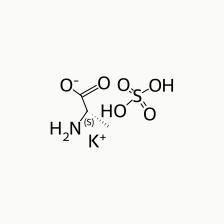 C[C@H](N)C(=O)[O-].O=S(=O)(O)O.[K+]